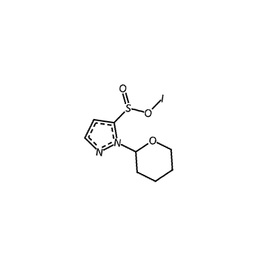 O=S(OI)c1ccnn1C1CCCCO1